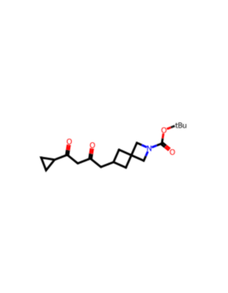 CC(C)(C)OC(=O)N1CC2(CC(CC(=O)CC(=O)C3CC3)C2)C1